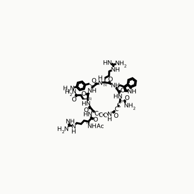 CC(=O)N[C@@H](CCCNC(=N)N)C(=O)N[C@H]1CCCNC(=O)CC[C@@H](C(N)=O)NC(=O)[C@H](Cc2c[nH]c3ccccc23)NC(=O)[C@H](CCCNC(=N)N)NC(=O)[C@@H](Cc2ccc(N)cc2)NC(=O)[C@H](CCC(N)=O)NC1=O